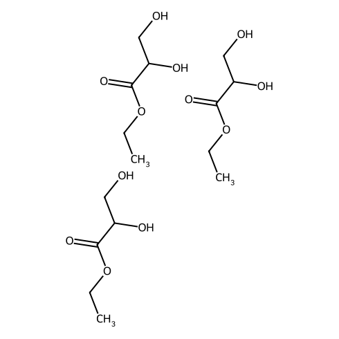 CCOC(=O)C(O)CO.CCOC(=O)C(O)CO.CCOC(=O)C(O)CO